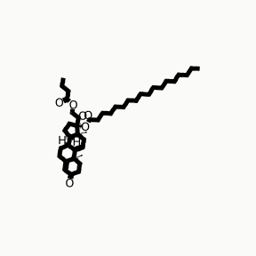 CCCCCCCCCCCCCCCCCC(=O)O[C@]1(C(=O)COC(=O)CCC)CC[C@H]2[C@@H]3CCC4=CC(=O)CC[C@]4(C)C3=CC[C@@]21C